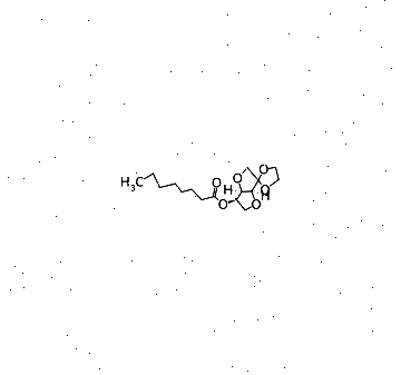 CCCCCCCC(=O)O[C@@H]1CO[C@H]2[C@@H]1OCC21OCCO1